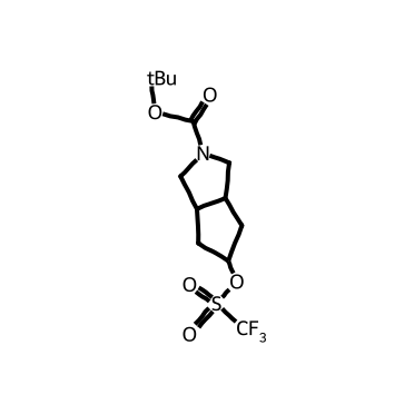 CC(C)(C)OC(=O)N1CC2CC(OS(=O)(=O)C(F)(F)F)CC2C1